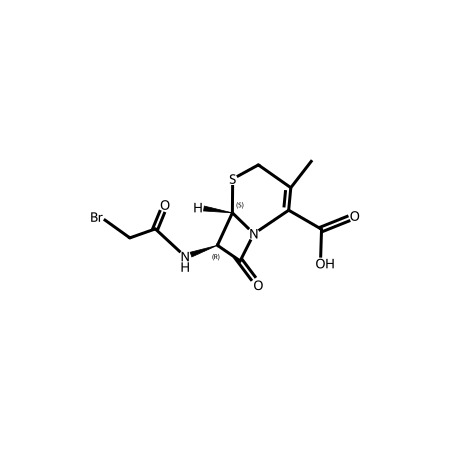 CC1=C(C(=O)O)N2C(=O)[C@@H](NC(=O)CBr)[C@@H]2SC1